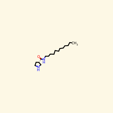 CCCCCCCCCCCCNC(=O)[C@H]1CCNC1